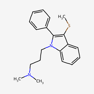 CSc1c(-c2ccccc2)n(CCCN(C)C)c2ccccc12